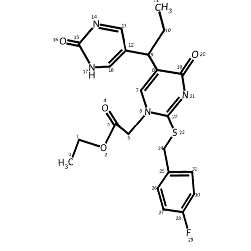 CCOC(=O)Cn1cc(C(CC)c2cnc(=O)[nH]c2)c(=O)nc1SCc1ccc(F)cc1